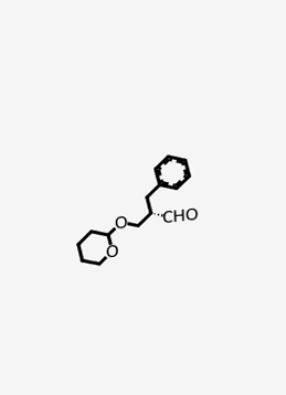 O=C[C@H](COC1CCCCO1)Cc1ccccc1